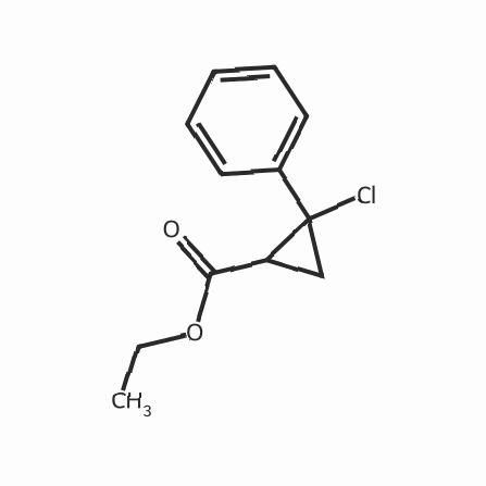 CCOC(=O)C1CC1(Cl)c1ccccc1